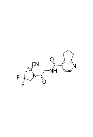 N#C[C@@H]1CC(F)(F)CN1C(=O)CNC(=O)c1ccnc2c1CCC2